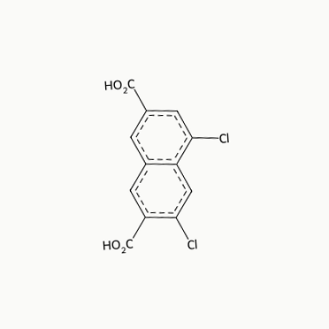 O=C(O)c1cc(Cl)c2cc(Cl)c(C(=O)O)cc2c1